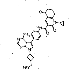 Nc1ncnc2c1c(-c1ccc(NC(=O)c3cc4c(n(C5CC5)c3=O)CCCC4=O)cc1)cn2C1CC(CO)C1